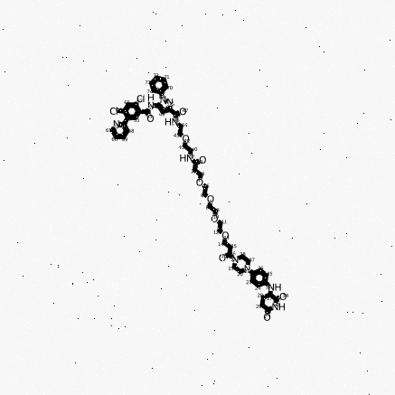 O=C(CCOCCOCCOCCOCCC(=O)N1CCN(c2ccc(NC3CCC(=O)NC3=O)cc2)CC1)NCCOCCNC(=O)c1cc(NC(=O)c2cc(-c3ccccn3)c(Cl)cc2Cl)n(-c2ccccc2)n1